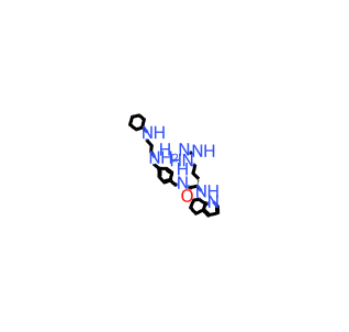 N=C(N)NCCC[C@H](NC1CCCc2cccnc21)C(=O)NCc1ccc(CNCCCNC2CCCCC2)cc1